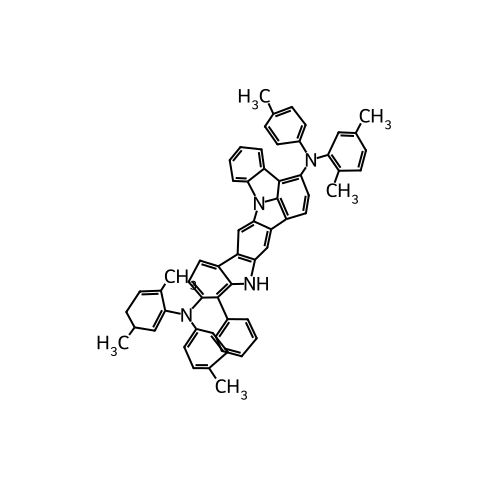 CC1=CCC(C)C=C1N(c1ccc(C)cc1)c1ccc2c([nH]c3cc4c5ccc(N(c6ccc(C)cc6)c6cc(C)ccc6C)c6c7ccccc7n(c4cc32)c56)c1-c1ccccc1